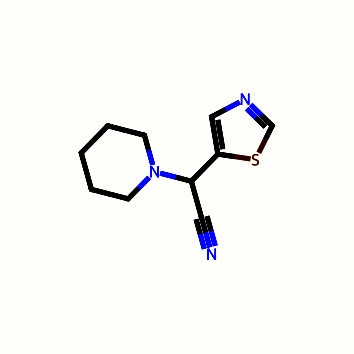 N#CC(c1cncs1)N1CCCCC1